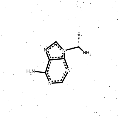 C[C@H](N)n1cnc2c(N)ncnc21